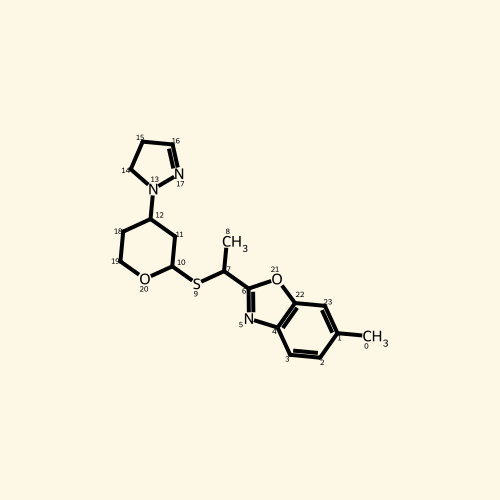 Cc1ccc2nc(C(C)SC3CC(N4CCC=N4)CCO3)oc2c1